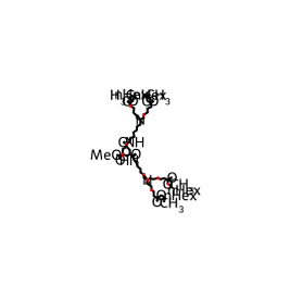 CCCCCCC(C)OC(=O)CCCCCN(CCCCCCNC(=O)C1CC(C(=O)NCCCCCCN(CCCCCC(=O)OC(C)CCCCCC)CCCCCC(=O)OC(C)CCCCCC)CC(C(=O)OC)C1)CCCCCC(=O)OC(C)CCCCCC